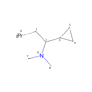 CC(C)CC(C1CC1)N(C)C